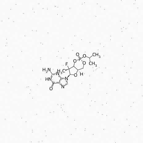 CC(C)O[P@@]1(=O)OC[C@H]2O[C@@H](n3cnc4c(=O)[nH]c(N)nc43)[C@](C)(F)C2O1